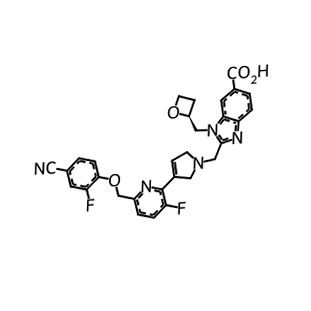 N#Cc1ccc(OCc2ccc(F)c(C3=CCN(Cc4nc5ccc(C(=O)O)cc5n4C[C@@H]4CCO4)C3)n2)c(F)c1